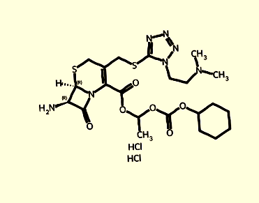 CC(OC(=O)OC1CCCCC1)OC(=O)C1=C(CSc2nnnn2CCN(C)C)CS[C@@H]2[C@H](N)C(=O)N12.Cl.Cl